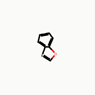 b1[c]oc2ccccc12